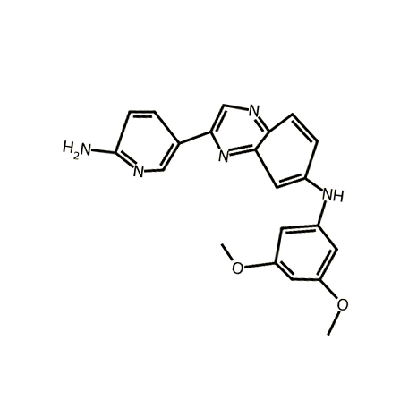 COc1cc(Nc2ccc3ncc(-c4ccc(N)nc4)nc3c2)cc(OC)c1